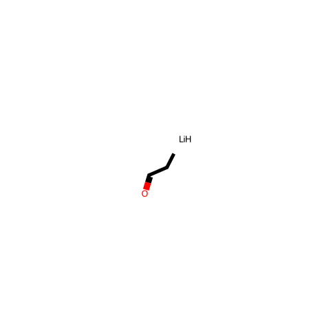 CCC=O.[LiH]